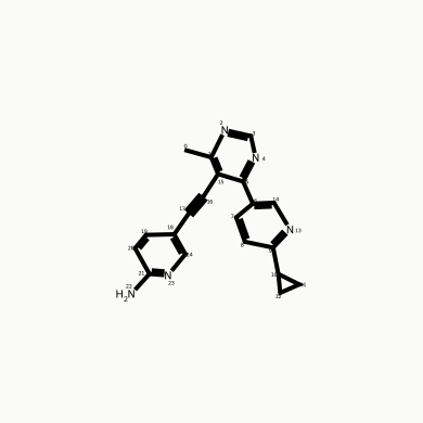 Cc1ncnc(-c2ccc(C3CC3)nc2)c1C#Cc1ccc(N)nc1